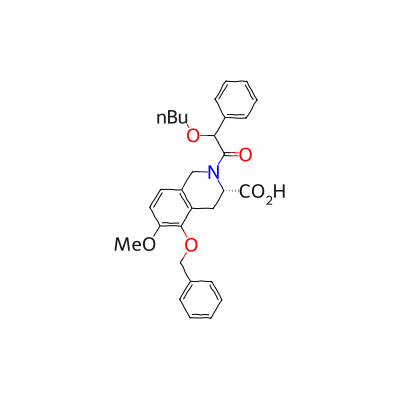 CCCCOC(C(=O)N1Cc2ccc(OC)c(OCc3ccccc3)c2C[C@H]1C(=O)O)c1ccccc1